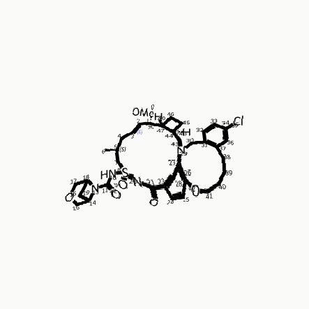 CO[C@H]1/C=C/C[C@H](C)CS(=O)(NC(=O)N2C3COCC2C3)=NC(=O)c2ccc3c(c2)N(Cc2ccc(Cl)cc2CCCCO3)C[C@@H]2CC[C@H]21